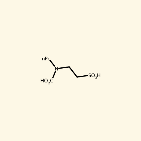 CCCN(CCS(=O)(=O)O)C(=O)O